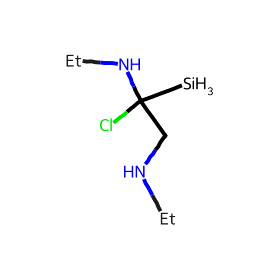 CCNCC([SiH3])(Cl)NCC